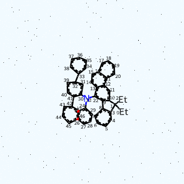 CCC1(CC)c2ccccc2-c2c1cc1c(ccc3ccccc31)c2N(c1ccccc1)c1cc(-c2ccccc2)ccc1-c1ccccc1